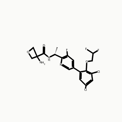 C[C@@H](NC(=O)C1(N)COC1)c1ncc(-c2cc(Cl)cc(Cl)c2OCC(F)F)cc1F